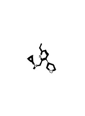 CCc1ccc([C@H]2CCOC2)c(CN(C)C2CC2)n1